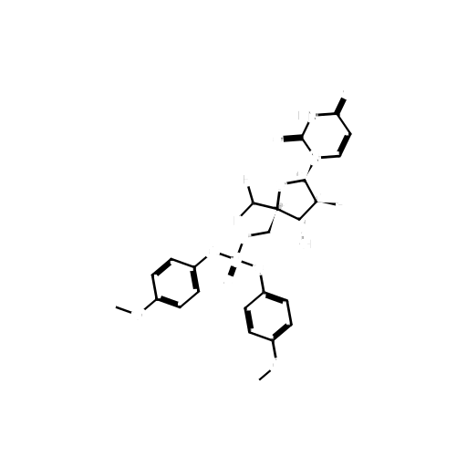 COc1ccc(OP(=O)(OC[C@@]2(C(F)F)O[C@@H](n3ccc(=O)[nH]c3=O)[C@@H](F)[C@@H]2O)Oc2ccc(OC)cc2)cc1